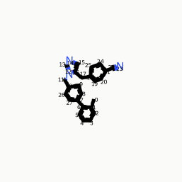 Cc1ccccc1-c1ccc(Cn2cncc2Cc2ccc(C#N)cc2)cc1